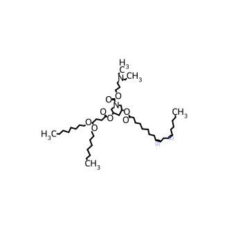 CCCCC/C=C\C/C=C\CCCCCCCC(=O)OC1CC(OC(=O)CCC(OCCCCCCCC)OCCCCCCCC)CN(C(=O)OCCCN(CC)CC)C1